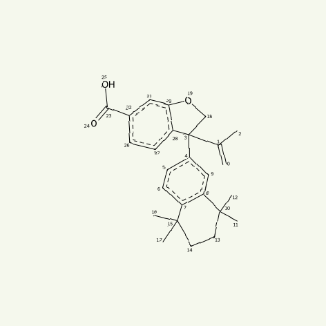 C=C(C)C1(c2ccc3c(c2)C(C)(C)CCC3(C)C)COc2cc(C(=O)O)ccc21